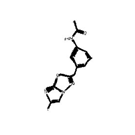 CC(=O)Nc1cccc(-c2nn3cc(I)nc3s2)c1